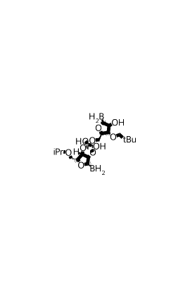 B[C@@H]1O[C@H](COP2(O)(O)OC3[C@H](B)O[C@H](COC(C)C)[C@@H]3O2)[C@H](OCC(C)(C)C)C1O